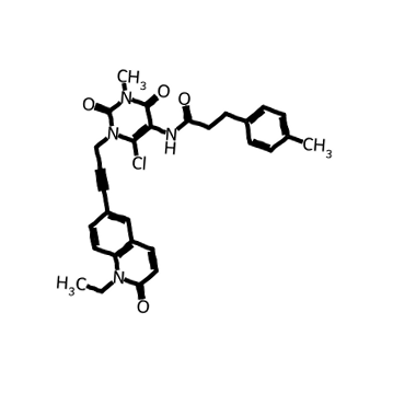 CCn1c(=O)ccc2cc(C#CCn3c(Cl)c(NC(=O)CCc4ccc(C)cc4)c(=O)n(C)c3=O)ccc21